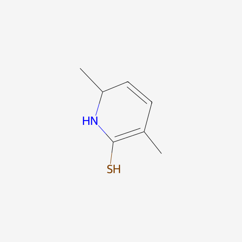 CC1=C(S)NC(C)C=C1